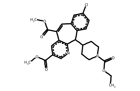 CCOC(=O)N1CCC(C2c3ccc(Cl)cc3C=C(C(=O)OC)c3cc(C(=O)OC)cnc32)CC1